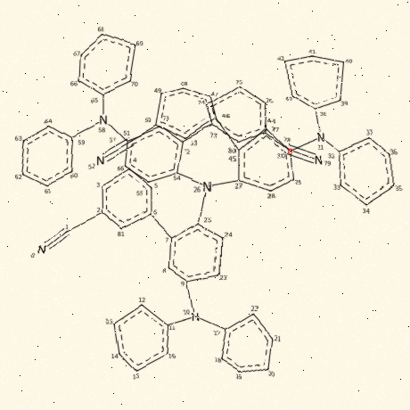 N#Cc1cccc(-c2cc(N(c3ccccc3)c3ccccc3)ccc2N(c2ccc(N(c3ccccc3)c3ccccc3)cc2-c2cccc(C#N)c2)c2ccc(N(c3ccccc3)c3ccccc3)cc2-c2cccc(C#N)c2)c1